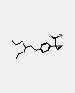 CCOC(COc1ccc(C2(C(=O)O)C=C2)cc1)OCC